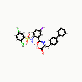 O=C(N[C@@H](Cc1ccc(-c2ccccc2)cc1)C(=O)O)c1cc(I)ccc1NS(=O)(=O)c1cc(Cl)ccc1Cl